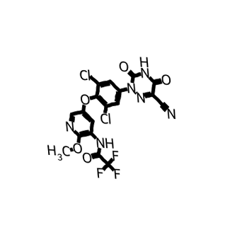 COc1ncc(Oc2c(Cl)cc(-n3nc(C#N)c(=O)[nH]c3=O)cc2Cl)cc1NC(=O)C(F)(F)F